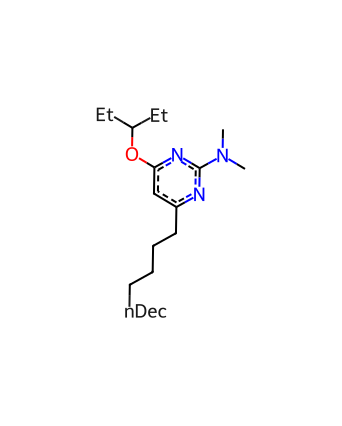 CCCCCCCCCCCCCCc1cc(OC(CC)CC)nc(N(C)C)n1